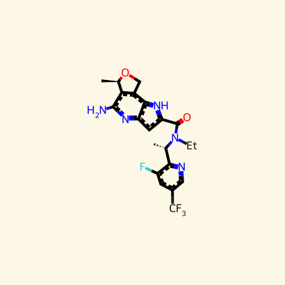 CCN(C(=O)c1cc2nc(N)c3c(c2[nH]1)CO[C@@H]3C)[C@@H](C)c1ncc(C(F)(F)F)cc1F